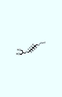 CCCCCOCC(F)(F)C(F)(F)C(F)(F)C(F)(F)COCC(CO)CO